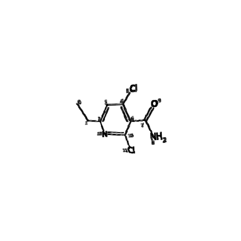 CCc1cc(Cl)c(C(N)=O)c(Cl)n1